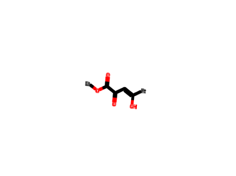 CCOC(=O)C(=O)/C=C(\O)CC